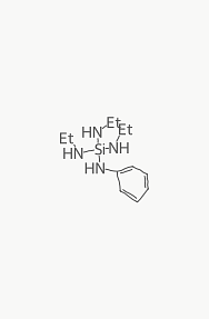 CCN[Si](NCC)(NCC)Nc1ccccc1